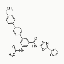 CCc1ccc(-c2ccc(-c3cc(NC(C)=O)cc(C(=O)Nc4nnc(-c5ccco5)o4)c3)cc2)cc1